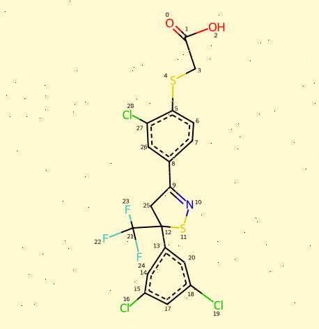 O=C(O)CSc1ccc(C2=NSC(c3cc(Cl)cc(Cl)c3)(C(F)(F)F)C2)cc1Cl